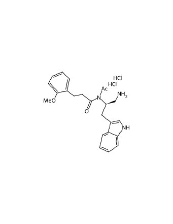 COc1ccccc1CCC(=O)N(C(C)=O)[C@@H](CN)Cc1c[nH]c2ccccc12.Cl.Cl